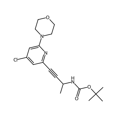 CC(C#Cc1cc(Cl)cc(N2CCOCC2)n1)NC(=O)OC(C)(C)C